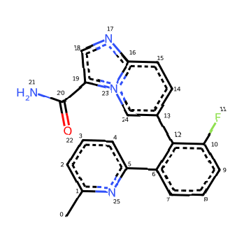 Cc1cccc(-c2cccc(F)c2-c2ccc3ncc(C(N)=O)n3c2)n1